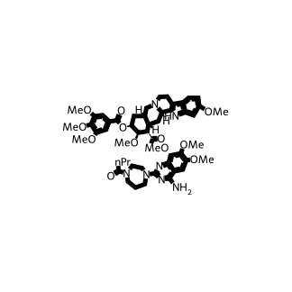 CCCC(=O)N1CCCN(c2nc(N)c3cc(OC)c(OC)cc3n2)CC1.COC(=O)[C@H]1[C@H]2C[C@@H]3c4[nH]c5cc(OC)ccc5c4CCN3C[C@H]2C[C@@H](OC(=O)c2cc(OC)c(OC)c(OC)c2)[C@@H]1OC